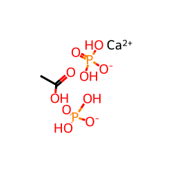 CC(=O)O.O=P([O-])(O)O.O=P([O-])(O)O.[Ca+2]